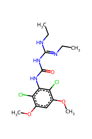 CCN=C(NCC)NC(=O)Nc1c(Cl)c(OC)cc(OC)c1Cl